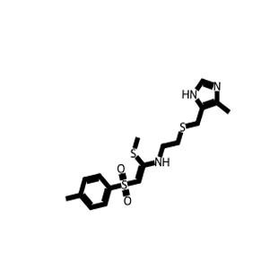 CSC(=CS(=O)(=O)c1ccc(C)cc1)NCCSCc1[nH]cnc1C